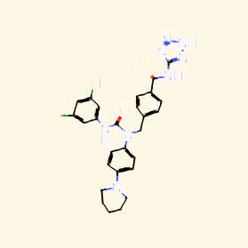 O=C(Nc1nn[nH]n1)c1ccc(CN(C(=O)Nc2cc(Cl)cc(Cl)c2)c2ccc(N3CCCCC3)cc2)cc1